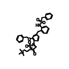 C[Si](C)(C)CCN1C(=O)CN(c2ccc(Cc3ccccc3NS(=O)(=O)Cc3ccccc3)cc2OCc2ccccc2)S1(=O)=O